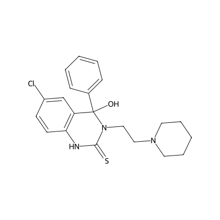 OC1(c2ccccc2)c2cc(Cl)ccc2NC(=S)N1CCN1CCCCC1